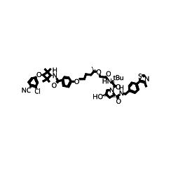 Cc1ncsc1-c1ccc(CNC(=O)[C@@H]2C[C@@H](O)CN2C(=O)[C@@H](NC(=O)CO[C@@H](C)CCCCOc2ccc(C(=O)N[C@H]3C(C)(C)[C@H](Oc4ccc(C#N)c(Cl)c4)C3(C)C)cc2)C(C)(C)C)cc1